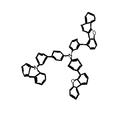 c1cc(-c2cccc3oc4c5ccccc5ccc4c23)cc(N(c2ccc(-c3cccc(-n4c5ccccc5c5ccccc54)c3)cc2)c2ccc(-c3cccc4c3oc3ccccc34)cc2)c1